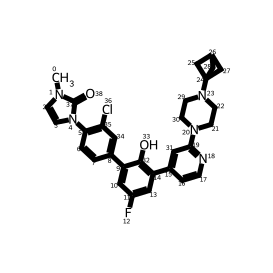 Cn1ccn(-c2ccc(-c3cc(F)cc(-c4ccnc(N5CCN(C67CC(C6)C7)CC5)c4)c3O)cc2Cl)c1=O